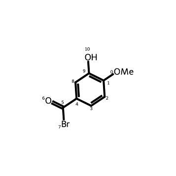 COc1ccc(C(=O)Br)cc1O